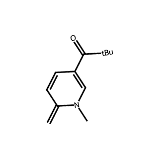 C=C1C=CC(C(=O)C(C)(C)C)=CN1C